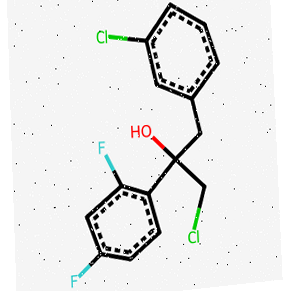 OC(CCl)(Cc1cccc(Cl)c1)c1ccc(F)cc1F